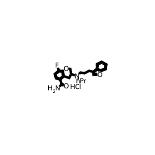 CCCN(CCCc1coc2ccccc12)C1COc2c(F)ccc(C(N)=O)c2C1.Cl